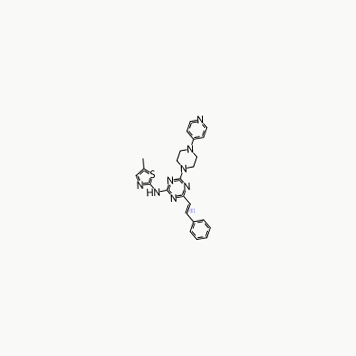 Cc1cnc(Nc2nc(/C=C/c3ccccc3)nc(N3CCN(c4ccncc4)CC3)n2)s1